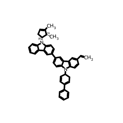 C=Cc1ccc2c(c1)c1cc(-c3ccc4c(c3)c3ccccc3n4[C@@H]3CC=C(C)[C@@H]3C)ccc1n2C1C=CC(c2ccccc2)=CC1